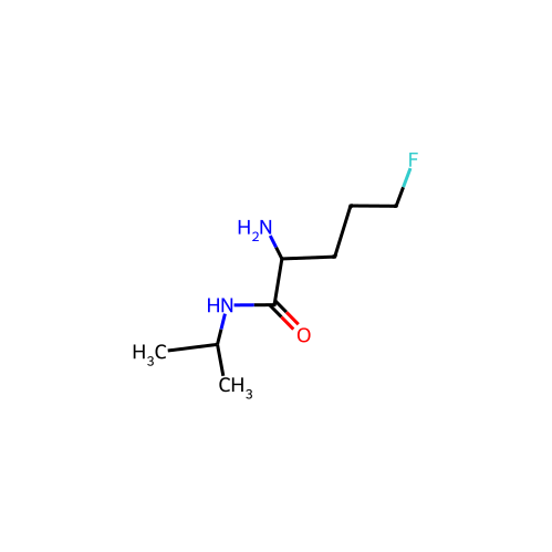 CC(C)NC(=O)C(N)CCCF